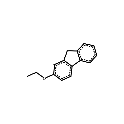 CCOc1[c]c2c(cc1)-c1ccccc1C2